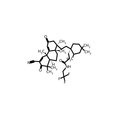 CC1CC(C)(C)CC[C@]1(CCC(=O)NCC(F)(F)F)CC[C@]1(C)CC(=O)C=C2[C@@]3(C)C=C(C#N)C(=O)C(C)(C)[C@@H]3CC[C@]21C